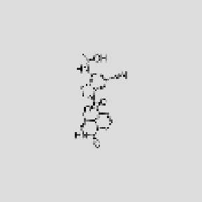 Cc1c[nH]c(=O)c2cccc(S(=O)(=O)N3CCc4c(NC(C)O)cc(C#N)cc43)c12